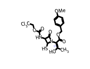 COc1ccc(COC(=O)/C(=C(\C)O)N2C(=O)C(NC(=O)OCC(Cl)(Cl)Cl)C2S)cc1